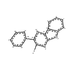 Ic1nc2oc3ccccc3c2nc1-c1ccccc1